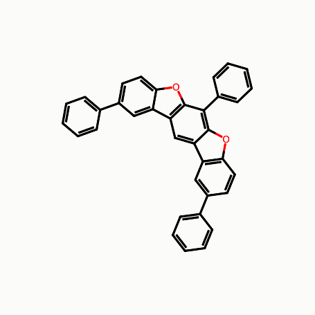 c1ccc(-c2ccc3oc4c(-c5ccccc5)c5oc6ccc(-c7ccccc7)cc6c5cc4c3c2)cc1